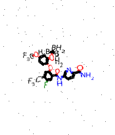 BC(B)(B)Oc1cc(OC(F)(F)F)ccc1Oc1cc(C(F)(F)F)c(F)cc1C(=O)Nc1ccc(C(N)=O)nc1